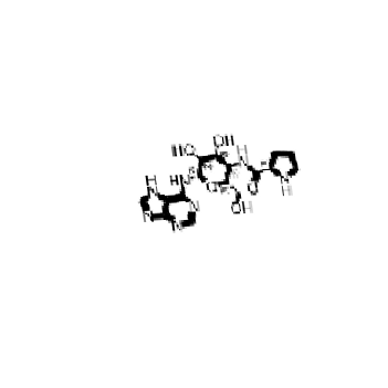 O=C(N[C@@H]1[C@@H](O)[C@H](O)[C@@H](Nc2ncnc3nc[nH]c23)O[C@H]1CO)[C@H]1CCCN1